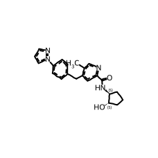 Cc1cnc(C(=O)N[C@H]2CCC[C@@H]2O)cc1Cc1ccc(-n2cccn2)cc1